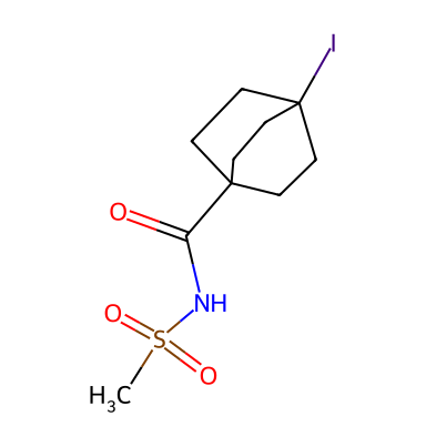 CS(=O)(=O)NC(=O)C12CCC(I)(CC1)CC2